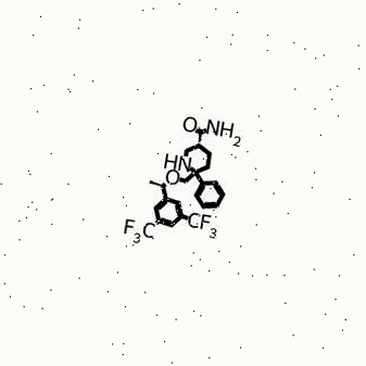 C[C@@H](OCC1(c2ccccc2)CC[C@H](C(N)=O)CN1)c1cc(C(F)(F)F)cc(C(F)(F)F)c1